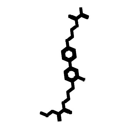 C=C(C)C(=O)OCCOc1ccc(-c2ccc(CCCOC(=O)C(=C)COC)c(F)c2)cc1